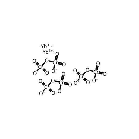 [O]=[Cr](=[O])([O-])[O][Cr](=[O])(=[O])[O-].[O]=[Cr](=[O])([O-])[O][Cr](=[O])(=[O])[O-].[O]=[Cr](=[O])([O-])[O][Cr](=[O])(=[O])[O-].[Yb+3].[Yb+3]